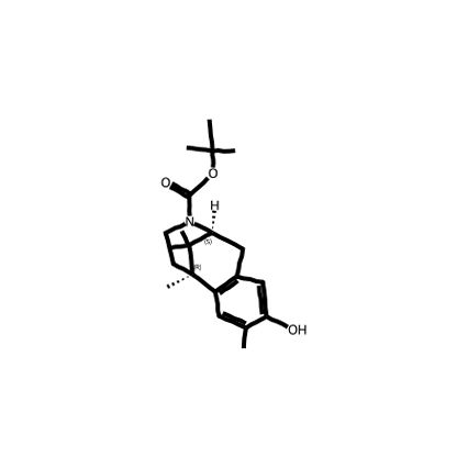 Cc1cc2c(cc1O)C[C@@H]1N(C(=O)OC(C)(C)C)CC[C@@]2(C)C1(C)C